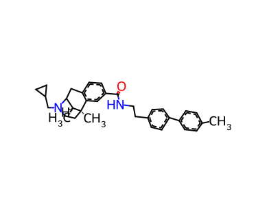 Cc1ccc(-c2ccc(CCNC(=O)c3ccc4c(c3)[C@@]3(C)CCN(CC5CC5)C(C4)[C@@H]3C)cc2)cc1